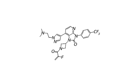 C=C(F)C(=O)N1CC(n2c(=O)n(-c3ccc(C(F)(F)F)cc3)c3nccc(-c4cnn(CCN(C)C)c4)c32)C1